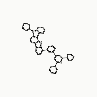 c1ccc(-c2cc(-c3cccc(-c4cccc5c4sc4c5ccc5c4c4ccccc4n5-c4ccccc4)c3)cc(-c3ccccc3)n2)cc1